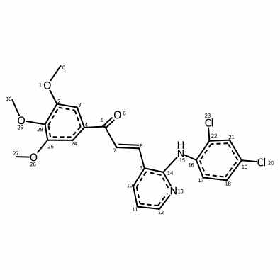 COc1cc(C(=O)/C=C/c2cccnc2Nc2ccc(Cl)cc2Cl)cc(OC)c1OC